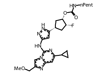 CCCCCNC(=O)O[C@H]1C[C@@H](c2cc(Nc3nc(C4CC4)cc4nc(COC)cn34)n[nH]2)C[C@H]1F